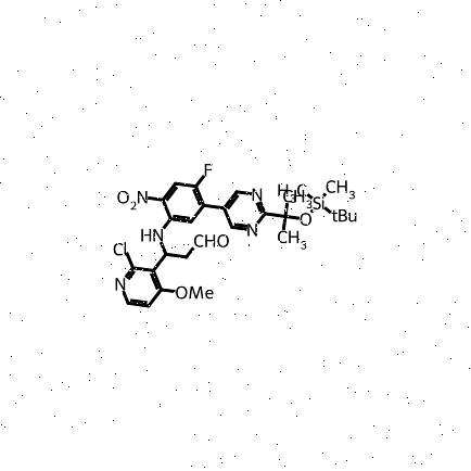 COc1ccnc(Cl)c1C(CC=O)Nc1cc(-c2cnc(C(C)(C)O[Si](C)(C)C(C)(C)C)nc2)c(F)cc1[N+](=O)[O-]